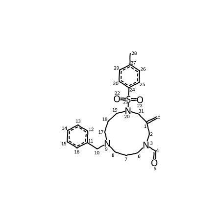 C=C1CN(C=O)CCCN(Cc2ccccc2)CCCN(S(=O)(=O)c2ccc(C)cc2)C1